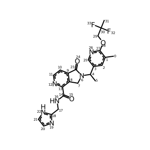 Cc1cc(C(C)N2Cc3c(ccnc3C(=O)NCc3ncc[nH]3)C2=O)cnc1OCC(C)(F)F